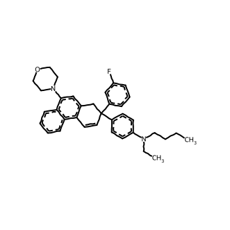 CCCCN(CC)c1ccc(C2(c3cccc(F)c3)C=Cc3c(cc(N4CCOCC4)c4ccccc34)C2)cc1